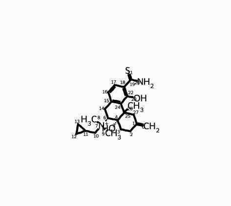 C=C1CC[C@@]2(O)[C@H]([N+](C)(C)CC3CC3)Cc3ccc(C(N)=S)c(O)c3C2(C)C1